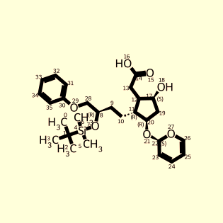 CC(C)(C)[Si](C)(C)O[C@H](CC[C@@H]1C(CC(=O)O)[C@@H](O)C[C@H]1O[C@@H]1C=CC=CO1)COc1ccccc1